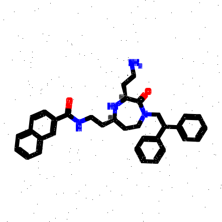 NCC[C@@H]1N[C@H](CCNC(=O)c2ccc3ccccc3c2)CCN(CC(c2ccccc2)c2ccccc2)C1=O